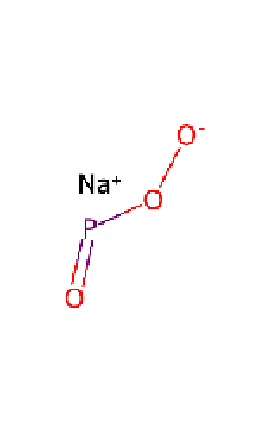 O=PO[O-].[Na+]